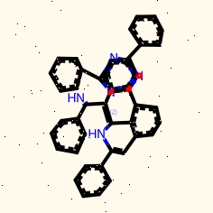 N=C(/C(=C1\NC(c2ccccc2)=Cc2cccc(-c3nc(-c4ccccc4)nc(-c4ccccc4)n3)c21)c1ccccc1)c1ccccc1